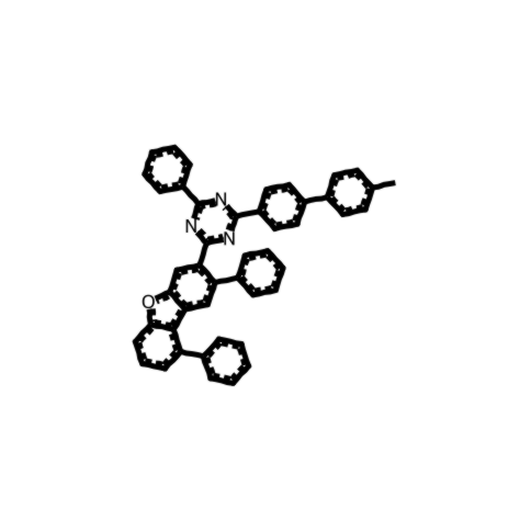 Cc1ccc(-c2ccc(-c3nc(-c4ccccc4)nc(-c4cc5oc6cccc(-c7ccccc7)c6c5cc4-c4ccccc4)n3)cc2)cc1